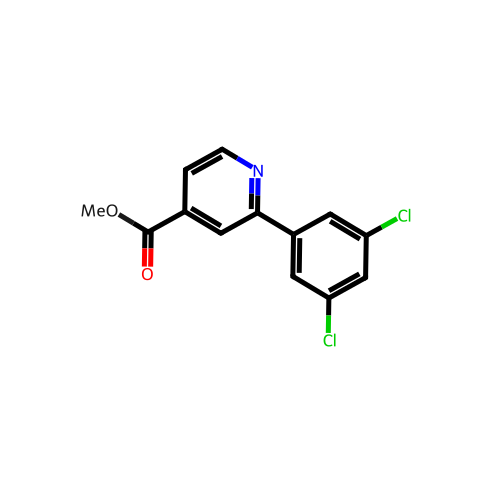 COC(=O)c1ccnc(-c2cc(Cl)cc(Cl)c2)c1